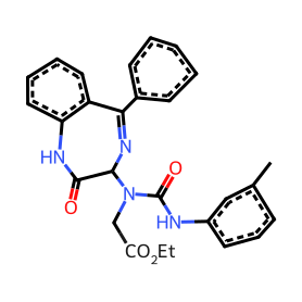 CCOC(=O)CN(C(=O)Nc1cccc(C)c1)C1N=C(c2ccccc2)c2ccccc2NC1=O